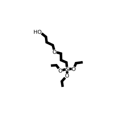 CCO[Si](CCCOCCCO)(OCC)OCC